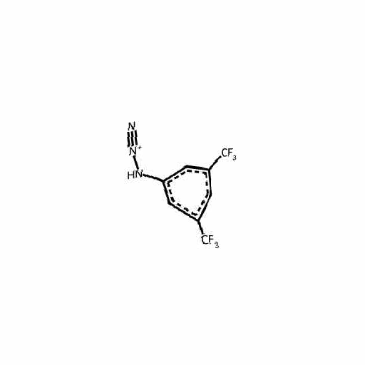 N#[N+]Nc1cc(C(F)(F)F)cc(C(F)(F)F)c1